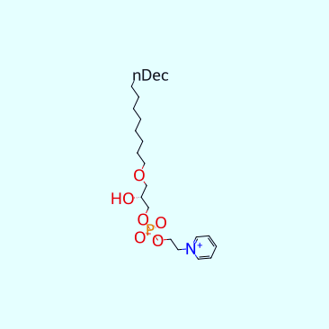 CCCCCCCCCCCCCCCCCCOC[C@@H](O)COP(=O)([O-])OCC[n+]1ccccc1